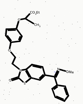 CCOC(=O)C(C)Oc1ccc(OCCn2c(=O)sc3cc(/C(=N/OC)c4ccccc4)ccc32)cc1